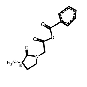 N[C@H]1CCN(CC(=O)OC(=O)c2ccccc2)C1=O